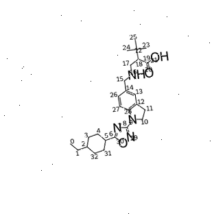 CCC1CCC(c2nc(N3CCc4cc(CNCC(C(=O)O)C(C)(C)C)ccc43)no2)CC1